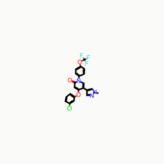 Cn1cc(-c2cn(-c3ccc(OC(F)(F)F)cc3)c(=O)cc2Oc2cccc(Cl)c2)cn1